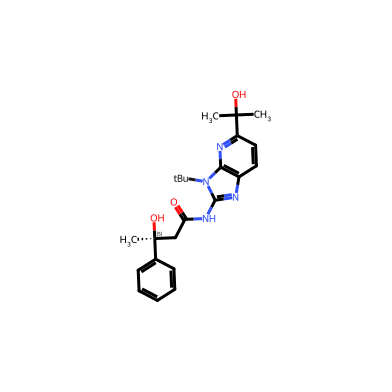 CC(C)(O)c1ccc2nc(NC(=O)C[C@](C)(O)c3ccccc3)n(C(C)(C)C)c2n1